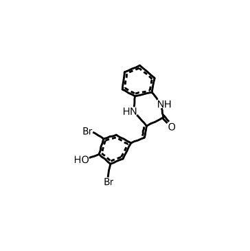 O=C1Nc2ccccc2NC1=Cc1cc(Br)c(O)c(Br)c1